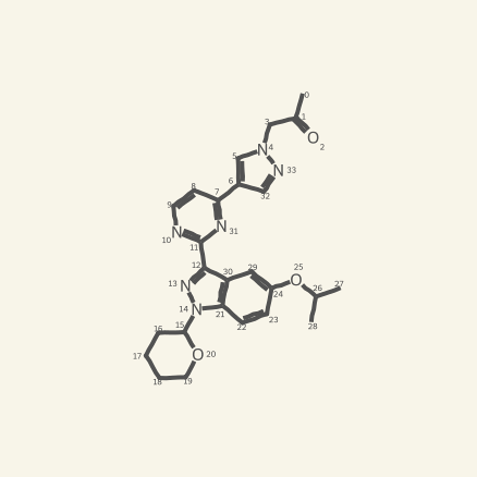 CC(=O)Cn1cc(-c2ccnc(-c3nn(C4CCCCO4)c4ccc(OC(C)C)cc34)n2)cn1